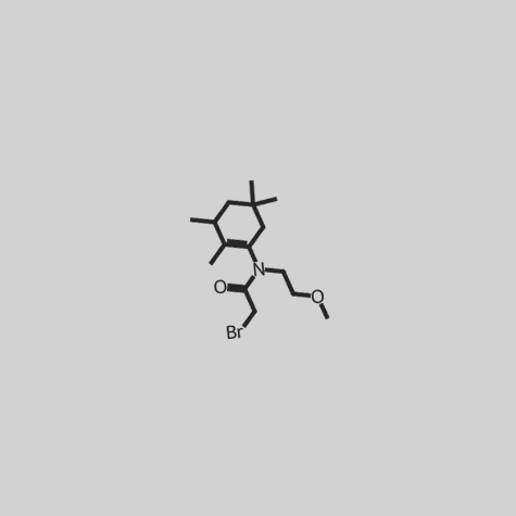 COCCN(C(=O)CBr)C1=C(C)C(C)CC(C)(C)C1